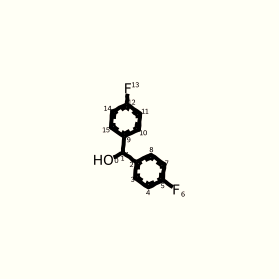 O[C](c1ccc(F)cc1)c1ccc(F)cc1